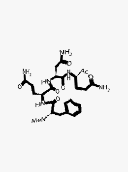 CN[C@@H](Cc1ccccc1)C(=O)N[C@@H](CCC(N)=O)C(=O)N[C@@H](CC(N)=O)C(=O)N[C@@H](CCC(N)=O)C(C)=O